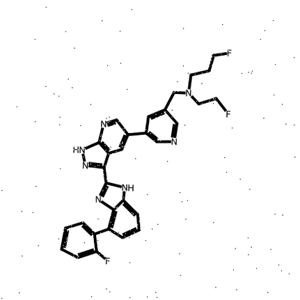 FCCCN(CCF)Cc1cncc(-c2cnc3[nH]nc(-c4nc5c(-c6ccccc6F)cccc5[nH]4)c3c2)c1